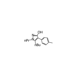 CCCCc1c(-c2ccc(C)cc2)c(O)nn1CCC